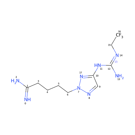 N=C(N)CCCCn1ncc(N/C(N)=N\CC(F)(F)F)n1